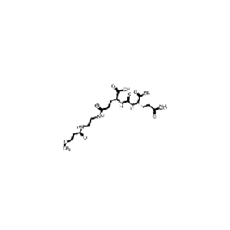 COCCC(=O)NCCNC(=O)CC[C@H](NC(=O)N[C@@H](CCC(=O)O)C(=O)O)C(=O)O